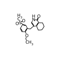 CCOc1ccc(S(C)(=O)=O)cc1Cc1c[nH]c(=O)c2c1CCCC2